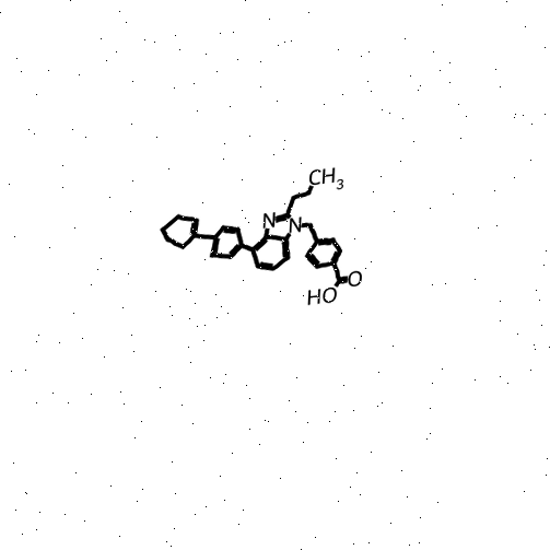 CCCc1nc2c(-c3ccc(C4=CCCCC4)cc3)cccc2n1Cc1ccc(C(=O)O)cc1